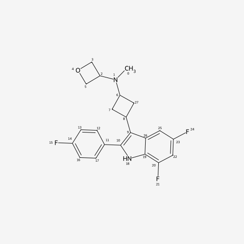 CN(C1COC1)C1CC(c2c(-c3ccc(F)cc3)[nH]c3c(F)cc(F)cc23)C1